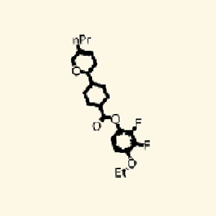 CCCC1=CCC(C2CCC(C(=O)Oc3ccc(OCC)c(F)c3F)CC2)OC1